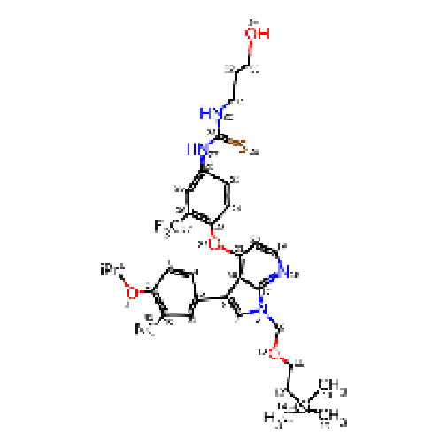 CC(C)Oc1ccc(-c2cn(COCC[Si](C)(C)C)c3nccc(Oc4ccc(NC(=S)NCCCO)cc4C(F)(F)F)c23)cc1C#N